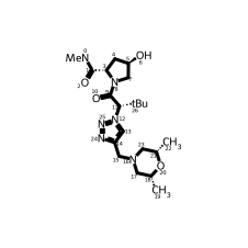 CNC(=O)[C@@H]1C[C@@H](O)CN1C(=O)[C@@H](n1cc(CN2C[C@@H](C)O[C@@H](C)C2)nn1)C(C)(C)C